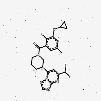 Cc1cc(C(=O)N2CC[C@@H](C)[C@H](c3cc(C(F)F)nc4ncnn34)C2)c(F)c(OC2CC2)n1